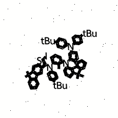 Cc1ccc(N(c2ccc(C(C)(C)C)cc2)c2ccc(C(C)(C)C)cc2)cc1N(c1cccc(N(c2ccc(C(C)(C)C)cc2)c2c(I)sc3cc4c(cc23)-c2ccccc2C4(C)C)c1C)c1cccc2c1-c1ccccc1C2(C)C